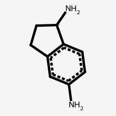 N[C]1CCc2cc(N)ccc21